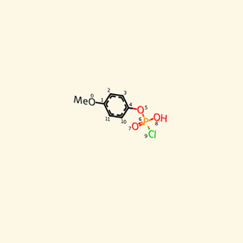 COc1ccc(OP(=O)(O)Cl)cc1